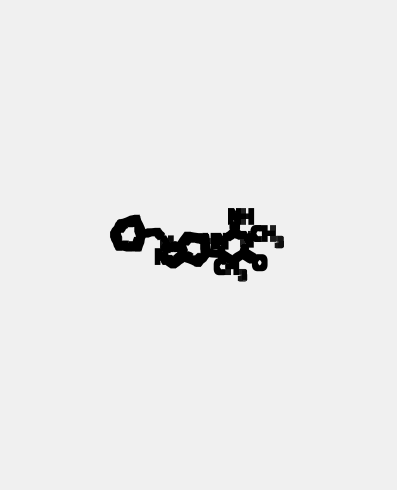 CN1C(=N)N[C@](C)(c2ccc3c(cnn3Cc3ccccc3)c2)CC1=O